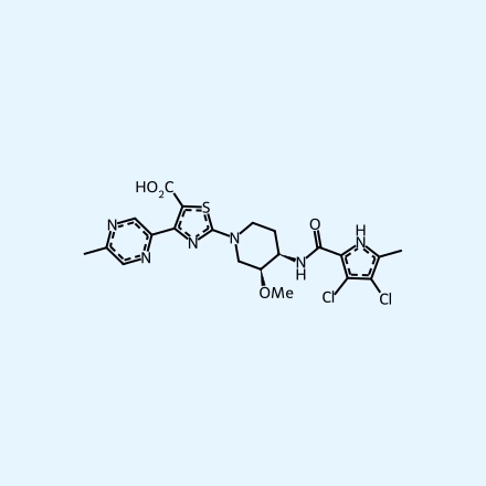 CO[C@H]1CN(c2nc(-c3cnc(C)cn3)c(C(=O)O)s2)CC[C@H]1NC(=O)c1[nH]c(C)c(Cl)c1Cl